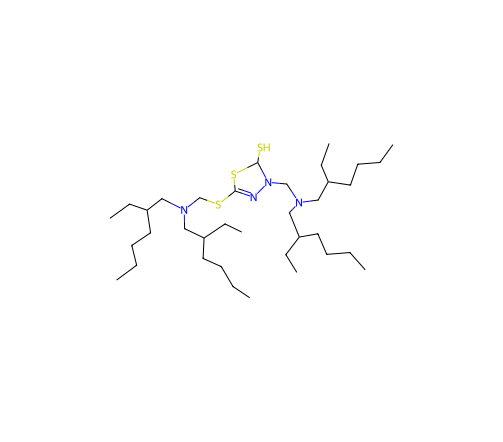 CCCCC(CC)CN(CSC1=NN(CN(CC(CC)CCCC)CC(CC)CCCC)C(S)S1)CC(CC)CCCC